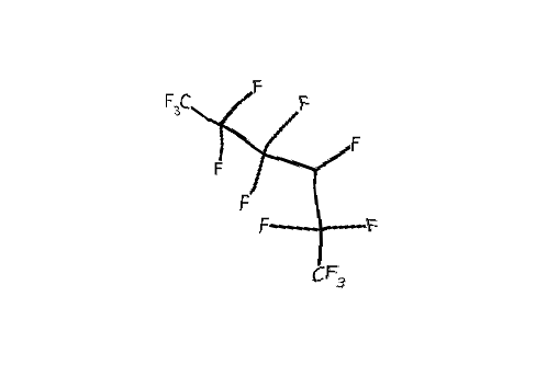 FC(C(F)(F)C(F)(F)F)C(F)(F)C(F)(F)C(F)(F)F